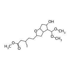 COC(=O)CC(I)CCC1CC2C(CC(O)C2C(OC)OC)O1